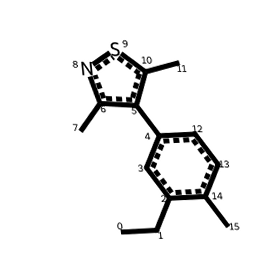 CCc1cc(-c2c(C)nsc2C)ccc1C